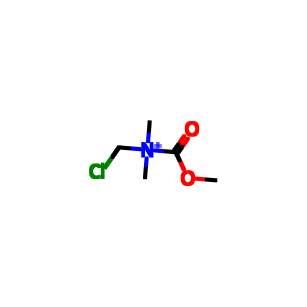 COC(=O)[N+](C)(C)CCl